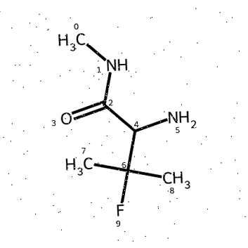 CNC(=O)C(N)C(C)(C)F